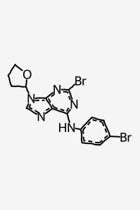 Brc1ccc(Nc2nc(Br)nc3c2ncn3C2CCCO2)cc1